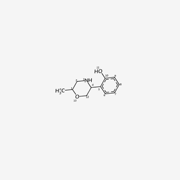 CC1CNC(c2ccccc2O)CO1